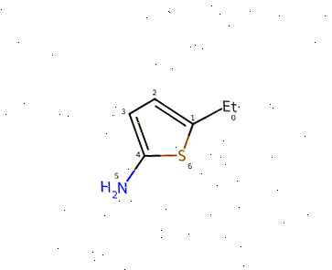 C[CH]c1ccc(N)s1